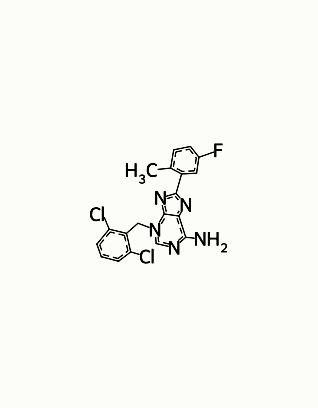 Cc1ccc(F)cc1-c1nc2c(N)ncn(Cc3c(Cl)cccc3Cl)c-2n1